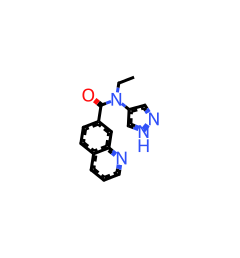 CCN(C(=O)c1ccc2cccnc2c1)c1cn[nH]c1